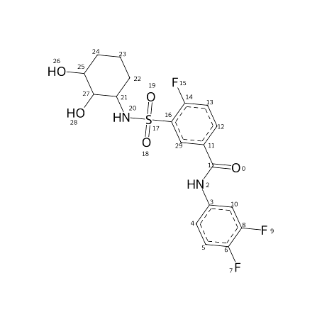 O=C(Nc1ccc(F)c(F)c1)c1ccc(F)c(S(=O)(=O)NC2CCCC(O)C2O)c1